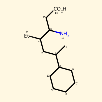 CCC(CC(C)C1CCCCC1)C(N)CC(=O)O